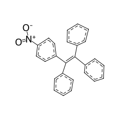 O=[N+]([O-])c1ccc(C(=C(c2ccccc2)c2ccccc2)c2ccccc2)cc1